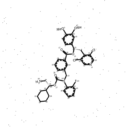 COc1ccc([C@H](Cc2c(Cl)cncc2Cl)OC(=O)c2cccc(CN(C(=O)O[C@@H](CN)C3CCCCC3)c3ccccc3F)c2)cc1OC